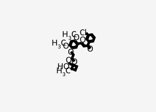 COc1cc(OC)c(-c2cc(=O)c3cccc(Cl)c3o2)cc1OCCOC1(C(=O)O)CCC1C